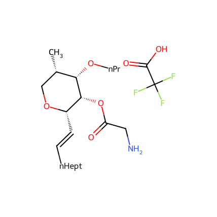 CCCCCCC/C=C/[C@@H]1OC[C@H](C)[C@H](OCCC)[C@@H]1OC(=O)CN.O=C(O)C(F)(F)F